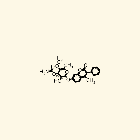 COC1=C(C)OC(Oc2ccc3c(C)c(-c4ccccc4)c(=O)oc3c2)[C@@H](O)[C@H]1OC(N)=O